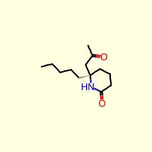 CCCCC[C@]1(CC(C)=O)CCCC(=O)N1